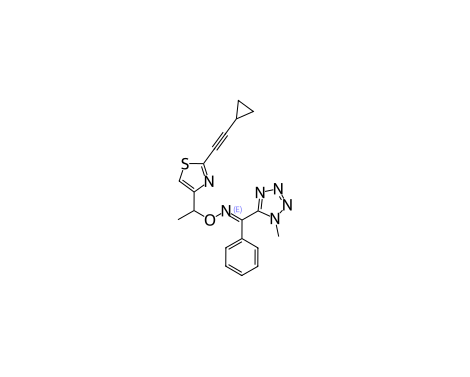 CC(O/N=C(\c1ccccc1)c1nnnn1C)c1csc(C#CC2CC2)n1